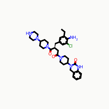 CCc1cc(C[C@@H](CC(=O)N2CCC(N3Cc4ccccc4NC3=O)CC2)C(=O)N2CCC(N3CCNCC3)CC2)cc(Cl)c1N